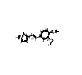 COc1cc(/C=C/c2cc[nH]n2)ccc1O